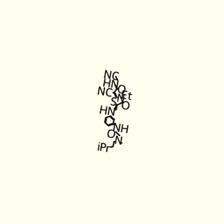 CCn1c(=C(C#N)C(=O)NCC#N)sc(=CNc2cccc(NC(=O)CN(C)CCC(C)C)c2)c1=O